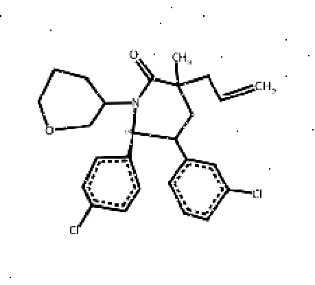 C=CCC1(C)CC(c2cccc(Cl)c2)[C@@H](c2ccc(Cl)cc2)N(C2CCCOC2)C1=O